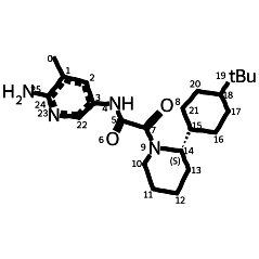 Cc1cc(NC(=O)C(=O)N2CCCC[C@H]2C2CCC(C(C)(C)C)CC2)cnc1N